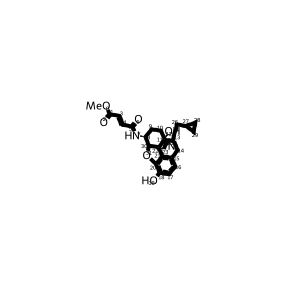 COC(=O)/C=C/C(=O)N[C@@H]1CC[C@@]2(O)C3Cc4ccc(O)c5c4[C@@]2(CCN3CC2CC2)C1O5